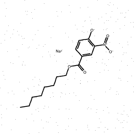 CCCCCCCCOC(=O)c1ccc([O-])c([N+](=O)[O-])c1.[Na+]